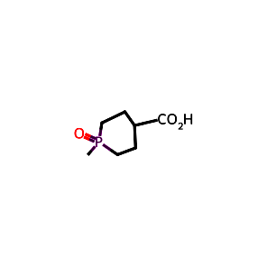 CP1(=O)CCC(C(=O)O)CC1